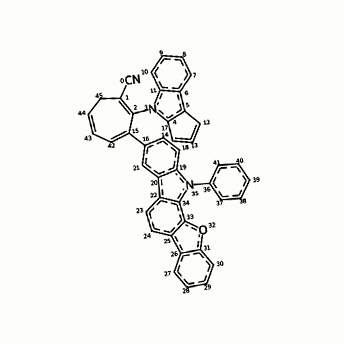 N#CC1=C(n2c3c(c4ccccc42)C=C=C3)C(c2ccc3c(c2)c2ccc4c5ccccc5oc4c2n3-c2ccccc2)=CC=CC1